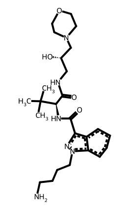 CC(C)(C)[C@H](NC(=O)c1nn(CCCCN)c2ccccc12)C(=O)NC[C@H](O)CN1CCOCC1